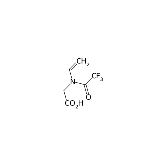 C=CN(CC(=O)O)C(=O)C(F)(F)F